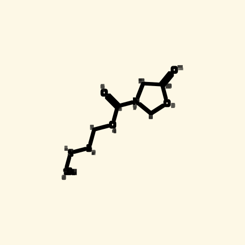 CC(C)(C)SSCOC(=O)N1COC(=O)C1